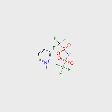 C[n+]1ccccc1.O=S(=O)([N-]S(=O)(=O)C(F)(F)F)C(F)(F)F